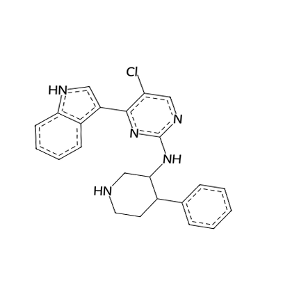 Clc1cnc(NC2CNCCC2c2ccccc2)nc1-c1c[nH]c2ccccc12